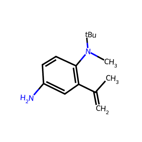 C=C(C)c1cc(N)ccc1N(C)C(C)(C)C